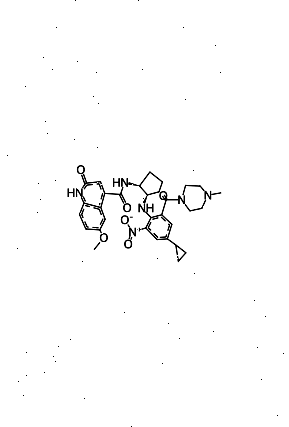 COc1ccc2[nH]c(=O)cc(C(=O)N[C@H]3CCC[C@H]3Nc3c(C(=O)N4CCN(C)CC4)cc(C4CC4)cc3[N+](=O)[O-])c2c1